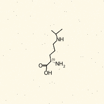 CC(C)NCCC[C@H](N)C(=O)O